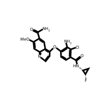 COc1cc2nccc(Oc3ccc(C(=O)N[C@@H]4C[C@@H]4F)c(Cl)c3N)c2cc1C(N)=O